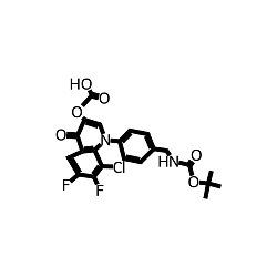 CC(C)(C)OC(=O)NCc1ccc(-n2cc(OC(=O)O)c(=O)c3cc(F)c(F)c(Cl)c32)cc1